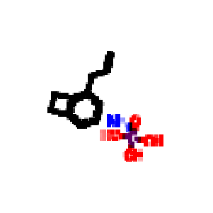 C=CCc1cccc2c1CC2.N.O=P(O)(O)O